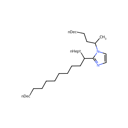 CCCCCCCCCCCCCCCCCCC(CCCCCCC)c1nccn1C(C)CCCCCCCCCCCC